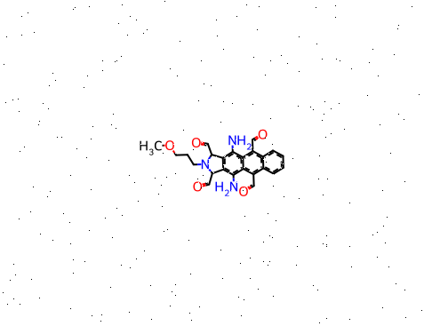 COCCCN1C(C=O)c2c(c(N)c3c(C=O)c4ccccc4c(C=O)c3c2N)C1C=O